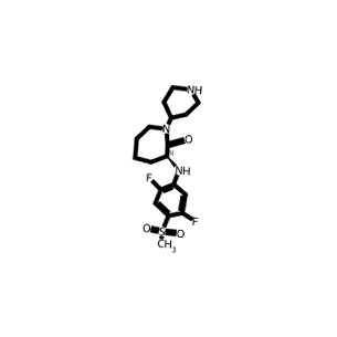 CS(=O)(=O)c1cc(F)c(N[C@H]2CCCCN(C3CCNCC3)C2=O)cc1F